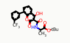 C[C@H](NC(=O)c1c(O)c2cccc(-c3cccc(C(F)(F)F)c3)c2oc1=O)C(=O)OC(C)(C)C